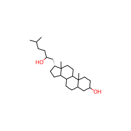 CC(C)CCC(O)C[C@H]1CCC2C3CCC4CC(O)CCC4(C)C3CCC21C